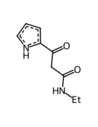 CCNC(=O)CC(=O)c1ccc[nH]1